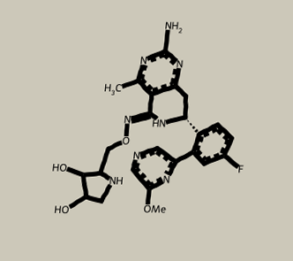 COc1cncc(-c2cc(F)ccc2[C@H]2Cc3nc(N)nc(C)c3/C(=N/OCC3NCC(O)C3O)N2)n1